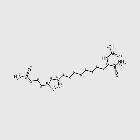 CC(=O)NC(CCCCCCCCN1CC(CCCC(N)=O)NN1)C(N)=O